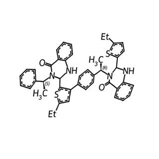 CCc1ccc(C2Nc3ccccc3C(=O)N2[C@H](C)c2ccc(-c3cc(CC)sc3C3Nc4ccccc4C(=O)N3[C@@H](C)c3ccccc3)cc2)s1